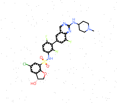 CN1CCC(Nc2ncc3cc(-c4c(F)ccc(NS(=O)(=O)c5cc(Cl)cc6c5OC[C@@H]6O)c4F)cc(F)c3n2)CC1